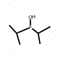 CC(C)P(O)C(C)C